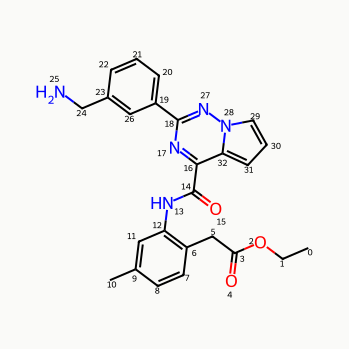 CCOC(=O)Cc1ccc(C)cc1NC(=O)c1nc(-c2cccc(CN)c2)nn2cccc12